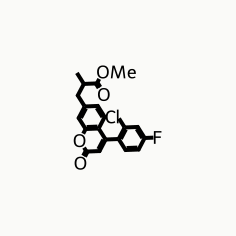 COC(=O)C(C)Cc1ccc2c(-c3ccc(F)cc3Cl)cc(=O)oc2c1